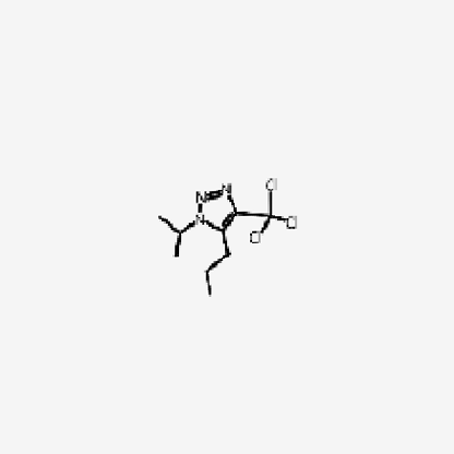 CCCc1c(C(Cl)(Cl)Cl)nnn1C(C)C